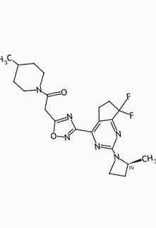 CC1CCN(C(=O)Cc2nc(-c3nc(N4CC[C@@H]4C)nc4c3CCC4(F)F)no2)CC1